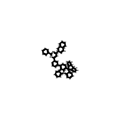 c1ccc(-c2nc(-c3cccc(-c4ccc5c6c4c4ccccc4n6-c4ccccc4C54c5ccccc5-c5ccccc54)c3)cc(-c3ccc4ccccc4c3)n2)cc1